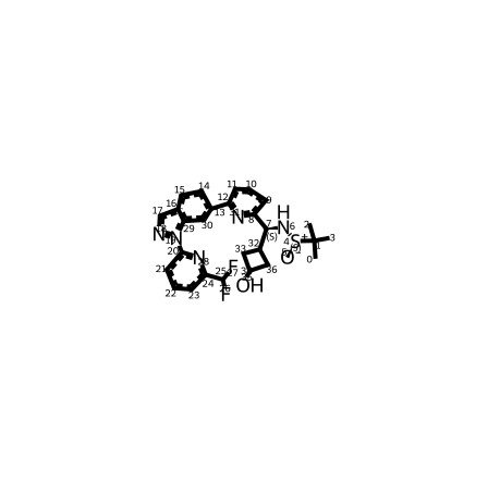 CC(C)(C)[S@@+]([O-])N[C@H](c1cccc(-c2ccc3cnn(-c4cccc(C(F)F)n4)c3c2)n1)C1CC(O)C1